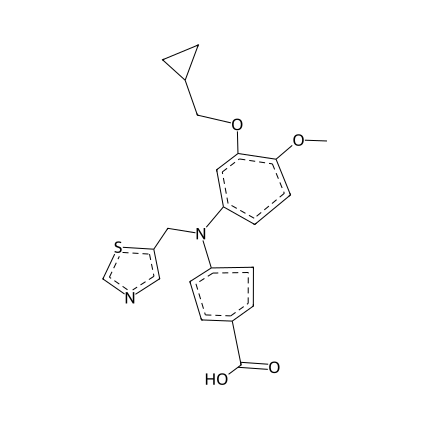 COc1ccc(N(Cc2cncs2)c2ccc(C(=O)O)cc2)cc1OCC1CC1